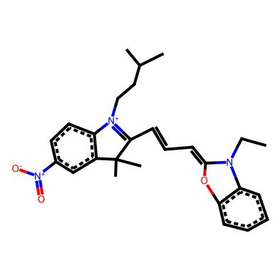 CCN1/C(=C/C=C/C2=[N+](CCC(C)C)c3ccc([N+](=O)[O-])cc3C2(C)C)Oc2ccccc21